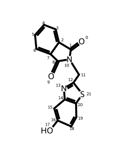 O=C1c2ccccc2C(=O)N1Cc1nc2cc(O)ccc2s1